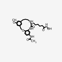 COc1cc2cc(c1)COc1ccc(NC(C)=O)cc1NC(=O)[C@H](CCCCCC(=O)NO)NCCC2